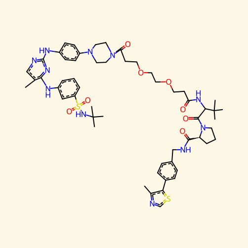 Cc1cnc(Nc2ccc(N3CCN(C(=O)CCOCCOCCC(=O)NC(C(=O)N4CCC[C@H]4C(=O)NCc4ccc(-c5scnc5C)cc4)C(C)(C)C)CC3)cc2)nc1Nc1cccc(S(=O)(=O)NC(C)(C)C)c1